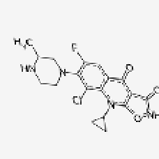 CC1CN(c2c(F)cc3c(=O)c4c(=O)[nH]oc4n(C4CC4)c3c2Cl)CCN1